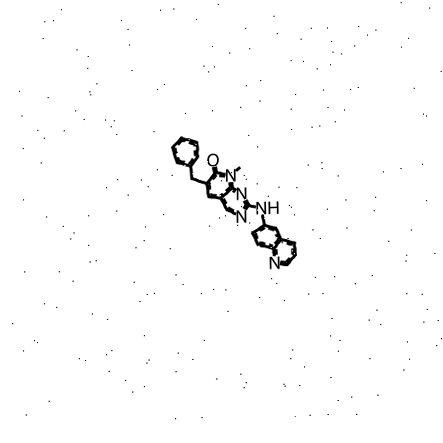 Cn1c(=O)c(Cc2ccccc2)cc2cnc(Nc3ccc4ncccc4c3)nc21